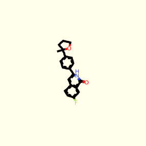 CC1(c2ccc(-c3cc4ccc(F)cc4c(=O)[nH]3)cc2)CCCO1